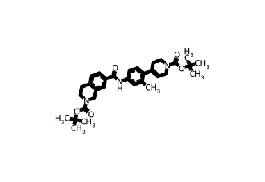 Cc1cc(NC(=O)c2ccc3c(c2)CN(C(=O)OC(C)(C)C)CC3)ccc1C1=CCN(C(=O)OC(C)(C)C)CC1